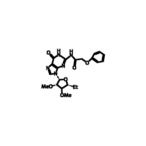 CC[C@H]1O[C@@H](n2cnc3c(=O)[nH]c(NC(=O)COc4ccccc4)nc32)[C@@H](OC)C1OC